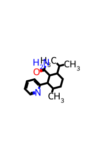 CC(C)C1CCC(C)C(c2ccccn2)C1C(N)=O